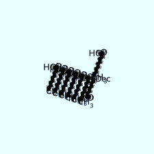 CCCCCCCCCC(=O)O.CCCCCCCCCC(=O)O.CCCCCCCCCC(=O)O.CCCCCCCCCC(=O)O.CCCCCCCCCC(=O)O.CCCCCCCCCC(=O)O.CCCCCCCCCC(=O)O.CCCCCCCCCCCCCCCCC(=O)OC